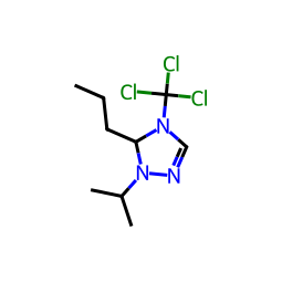 CCCC1N(C(C)C)N=CN1C(Cl)(Cl)Cl